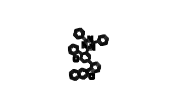 C1=C(c2cccc3oc4cc5ccccc5cc4c23)C=C(c2nc(-c3ccccc3)nc(-c3ccccc3)n2)C2c3ccccc3OC12